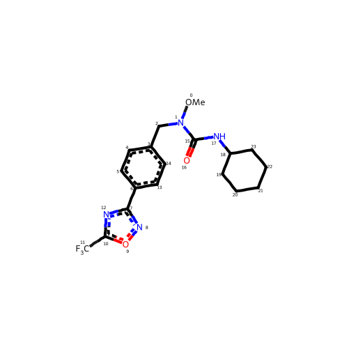 CON(Cc1ccc(-c2noc(C(F)(F)F)n2)cc1)C(=O)NC1CCCCC1